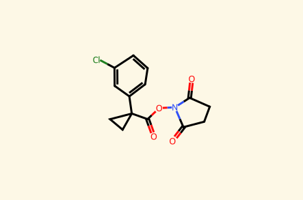 O=C1CCC(=O)N1OC(=O)C1(c2cccc(Cl)c2)CC1